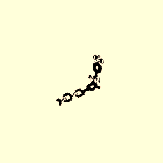 Cc1cc(C2CCN(C3CCN(C(C)C)CC3)CC2)cc2c1nc(-c1ccc(S(C)(=O)=O)cc1)n2C